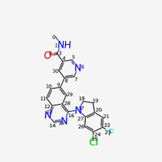 CNC(=O)c1cncc(-c2ccc3ncnc(N4CCc5cc(F)c(Cl)cc54)c3c2)c1